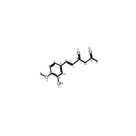 COc1ccc(/C=C/C(=O)CC(C)=O)cc1O